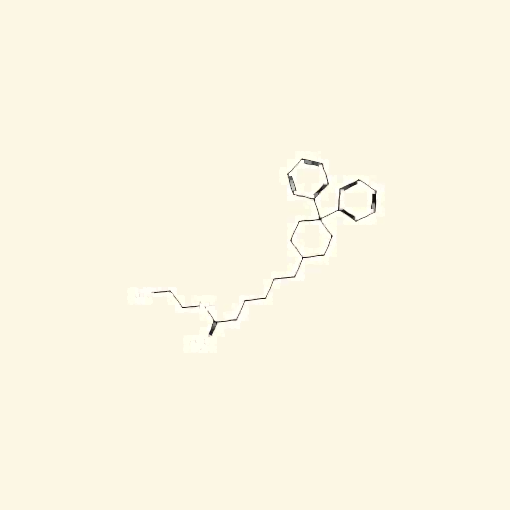 C=C(CCCCCC1CCC(c2ccccc2)(c2ccccc2)CC1)NCCC(C)(C)C